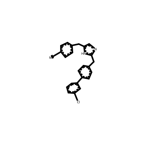 N#Cc1ccc(Cc2cnc(Cc3ccc(-c4cccc(Cl)c4)cc3)[nH]2)cc1